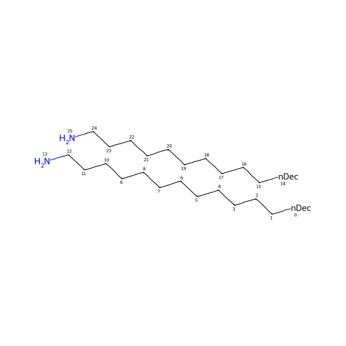 CCCCCCCCCCCCCCCCCCCCCCN.CCCCCCCCCCCCCCCCCCCCN